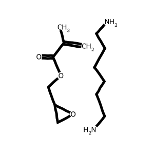 C=C(C)C(=O)OCC1CO1.NCCCCCCN